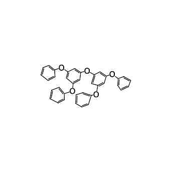 c1ccc(Oc2cc(Oc3ccccc3)cc(Oc3cc(Oc4ccccc4)cc(Oc4ccccc4)c3)c2)cc1